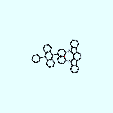 c1ccc(-c2c3ccccc3c(-c3ccc(-n4c5ccccc5c5ccc6c7ccccc7n(-c7ccccc7)c6c54)cc3)c3ccccc23)cc1